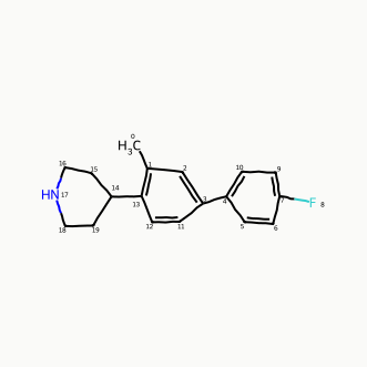 Cc1cc(-c2ccc(F)cc2)ccc1C1CCNCC1